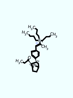 CCC[CH2][Sn]([CH2]CCC)([CH2]CCC)/[C](C)=C/c1ccc([C@H]2CC3CCC(N3)[C@H]2C(=O)CC)cc1